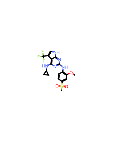 COc1cc(S(C)(=O)=O)ccc1Nc1nc(NC2CC2)c2c(C(F)(F)F)c[nH]c2n1